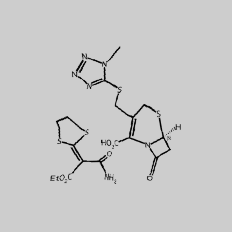 CCOC(=O)C(C(N)=O)=C1SCCS1.Cn1nnnc1SCC1=C(C(=O)O)N2C(=O)C[C@@H]2SC1